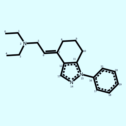 CCN(CC)C/C=C1\CCCc2c1cnn2-c1ccccc1